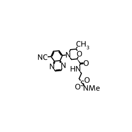 CNS(=O)(=O)CCNC(=O)[C@H]1CN(c2ccc(C#N)c3nccnc23)C[C@@H](C)O1